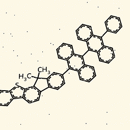 CC1(C)c2cc(-c3c4ccccc4c(-c4c5ccccc5c(-c5ccccc5)c5ccccc45)c4ccccc34)ccc2-c2ccc3c(sc4ccccc43)c21